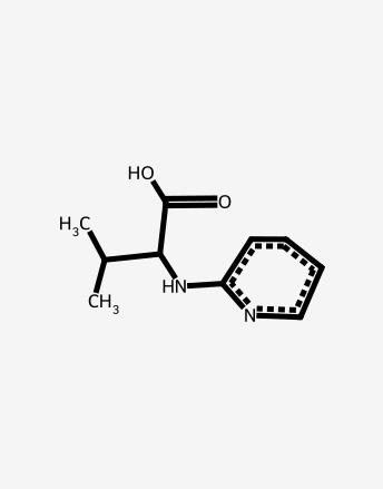 CC(C)C(Nc1ccccn1)C(=O)O